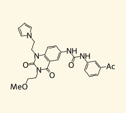 COCCn1c(=O)c2cc(NC(=O)Nc3cccc(C(C)=O)c3)ccc2n(CCn2cccc2)c1=O